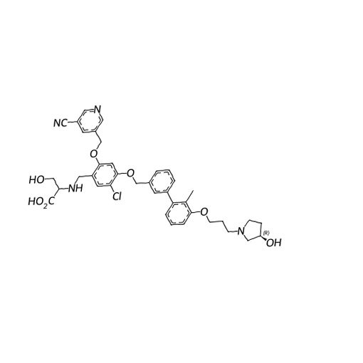 Cc1c(OCCCN2CC[C@@H](O)C2)cccc1-c1cccc(COc2cc(OCc3cncc(C#N)c3)c(CNC(CO)C(=O)O)cc2Cl)c1